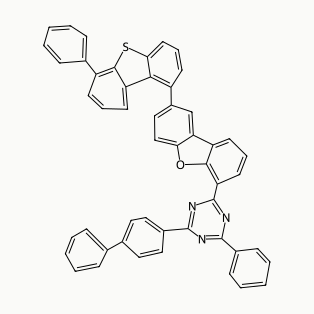 c1ccc(-c2ccc(-c3nc(-c4ccccc4)nc(-c4cccc5c4oc4ccc(-c6cccc7sc8c(-c9ccccc9)cccc8c67)cc45)n3)cc2)cc1